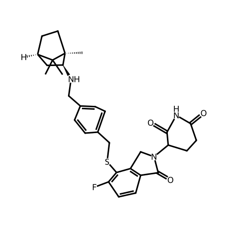 CC1(C)[C@@H]2CC[C@@]1(C)[C@@H](NCc1ccc(CSc3c(F)ccc4c3CN(C3CCC(=O)NC3=O)C4=O)cc1)C2